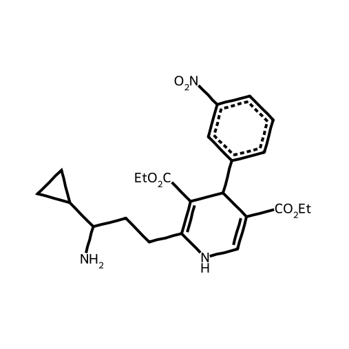 CCOC(=O)C1=CNC(CCC(N)C2CC2)=C(C(=O)OCC)C1c1cccc([N+](=O)[O-])c1